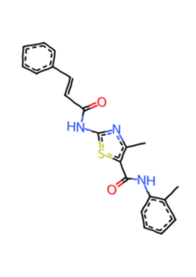 Cc1ccccc1NC(=O)c1sc(NC(=O)C=Cc2ccccc2)nc1C